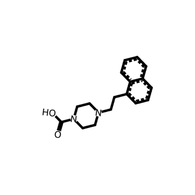 O=C(O)N1CCN(CCc2cccc3ccccc23)CC1